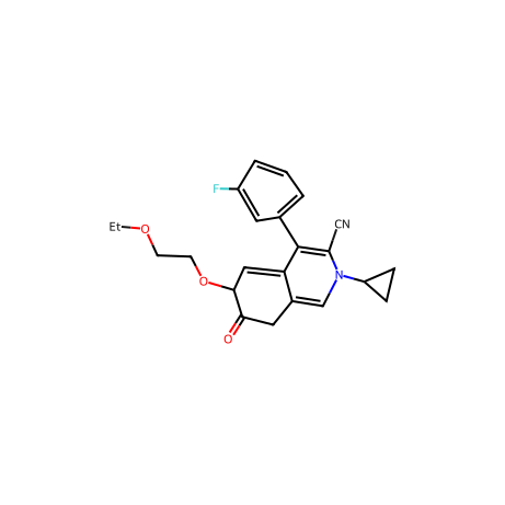 CCOCCOC1C=C2C(=CN(C3CC3)C(C#N)=C2c2cccc(F)c2)CC1=O